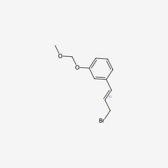 COCOc1cccc(/C=C/CBr)c1